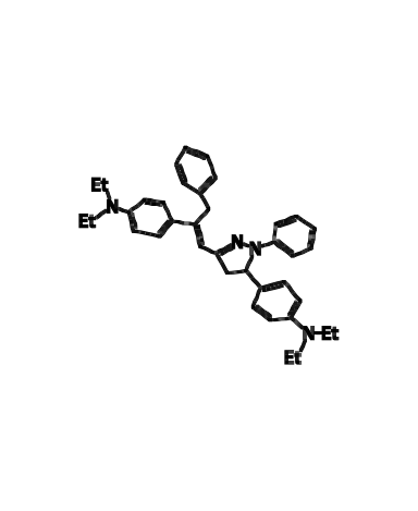 CCN(CC)c1ccc(C(=CC2=NN(c3ccccc3)C(c3ccc(N(CC)CC)cc3)C2)Cc2ccccc2)cc1